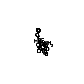 CC1COc2c(NCCCOc3ccccc3)c(F)c(N)c3c(=O)c(C(=O)N=O)cn1c23